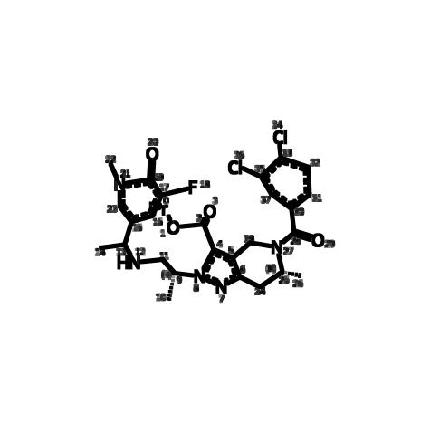 CC(C)OC(=O)c1c2c(nn1[C@H](C)CNC(C)c1cc(F)c(=O)n(C)c1)C[C@@H](C)N(C(=O)c1ccc(Cl)c(Cl)c1)C2